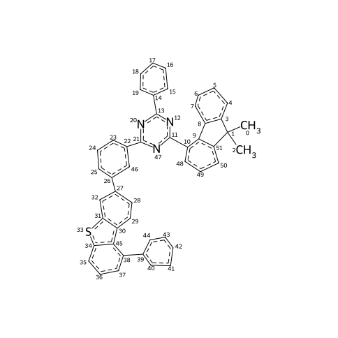 CC1(C)c2ccccc2-c2c(-c3nc(-c4ccccc4)nc(-c4cccc(-c5ccc6c(c5)sc5cccc(-c7ccccc7)c56)c4)n3)cccc21